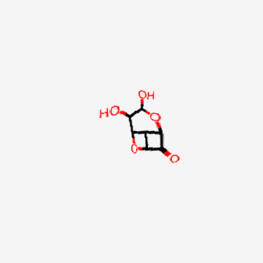 O=C1C2OC(O)C(O)C3OC1C23